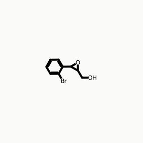 OCC1OC1c1ccccc1Br